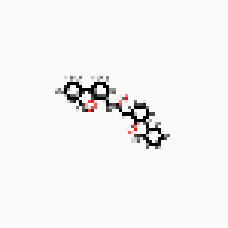 O=C(Cc1cccc2c1OCc1ccccc1-2)Cc1cccc2c1OCc1ccccc1-2